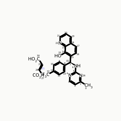 Cc1ccnc(N[C@@H](c2ccc(C(F)(F)F)cc2)c2ccc3cccnc3c2O)n1.O=C(O)/C=C/C(=O)O